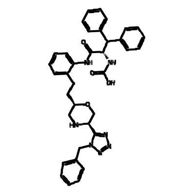 O=C(O)N[C@H](C(=O)Nc1ccccc1CC[C@@H]1CN[C@H](c2nnnn2Cc2ccccc2)CO1)C(c1ccccc1)c1ccccc1